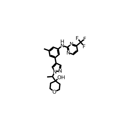 Cc1cc(Nc2nccc(C(F)(F)F)n2)cc(-c2cnn(C(C)C3(O)CCOCC3)c2)c1